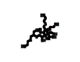 SCCSCC(CS)SCC(S)C(S)(C(S)C(CSCCS)SCCS)C(CS)(CS)CS